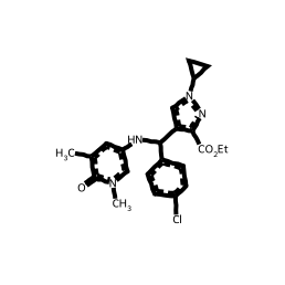 CCOC(=O)c1nn(C2CC2)cc1C(Nc1cc(C)c(=O)n(C)c1)c1ccc(Cl)cc1